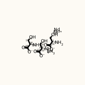 B.N[C@@H](CO)C(=O)[O-].N[C@@H](CO)C(=O)[O-].N[C@@H](CO)C(=O)[O-].[Fe+3].[Nd]